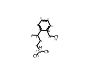 CC(CC[SiH](Cl)Cl)c1ccccc1CCl